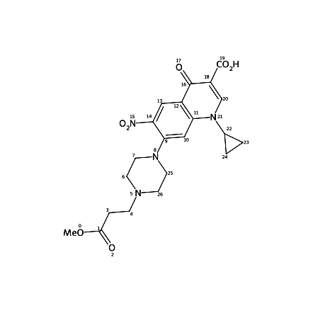 COC(=O)CCN1CCN(c2cc3c(cc2[N+](=O)[O-])c(=O)c(C(=O)O)cn3C2CC2)CC1